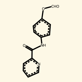 O=COc1ccc(NC(=O)c2ccccn2)cc1